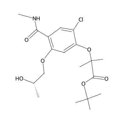 CNC(=O)c1cc(Cl)c(OC(C)(C)C(=O)OC(C)(C)C)cc1OC[C@H](C)O